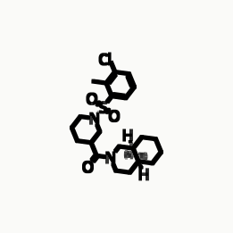 Cc1c(Cl)cccc1S(=O)(=O)N1CCCC(C(=O)N2CC[C@H]3CCCC[C@@H]3C2)C1